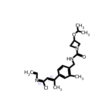 C=C/N=C(Cl)\C=C(/C)c1ccc(CNC(=O)N2CC(OC(C)C)C2)c(C)c1